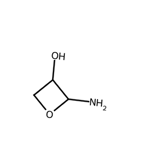 NC1OCC1O